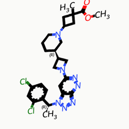 COC(=O)C1(C)CC(N2CCC[C@H](C3CN(c4cc5c(nn4)nnn5[C@H](C)c4ccc(Cl)cc4Cl)C3)C2)C1